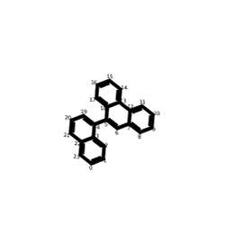 [c]1ccc2c(-c3cc4ccccc4c4ccccc34)cccc2c1